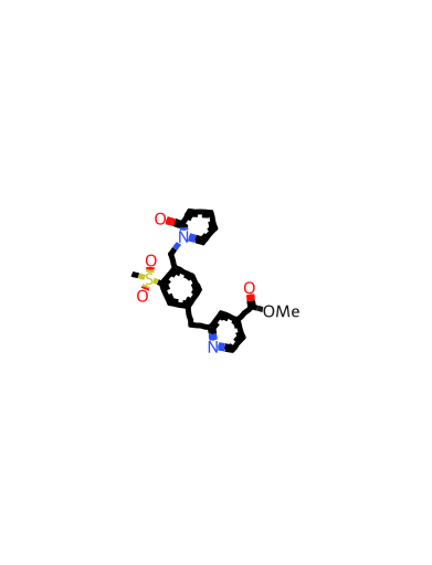 COC(=O)c1ccnc(Cc2ccc(Cn3ccccc3=O)c(S(C)(=O)=O)c2)c1